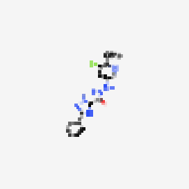 COc1ncc(NNC(=O)c2nc(-c3ccccc3)nn2C)cc1F